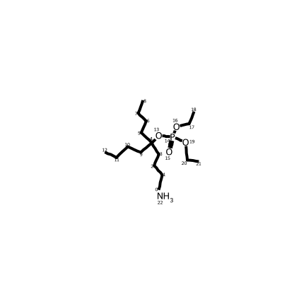 CCCCC(CCCC)(CCCC)OP(=O)(OCC)OCC.N